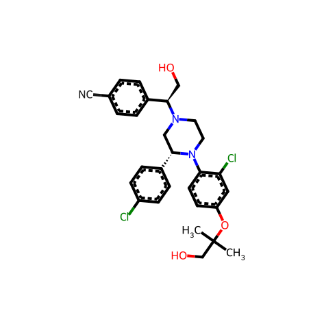 CC(C)(CO)Oc1ccc(N2CCN([C@H](CO)c3ccc(C#N)cc3)C[C@H]2c2ccc(Cl)cc2)c(Cl)c1